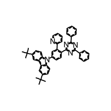 CC(C)(C)c1ccc2c(c1)c1cc(C(C)(C)C)ccc1n2-c1ccc(-c2nc(-c3ccccc3)nc(-c3ccccc3)n2)c(-c2ccccn2)c1